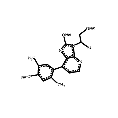 CCC(COC)n1c(OC)nc2c(-c3cc(C)c(OC)cc3C)ccnc21